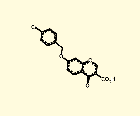 O=C(O)c1coc2cc(OCc3ccc(Cl)cc3)ccc2c1=O